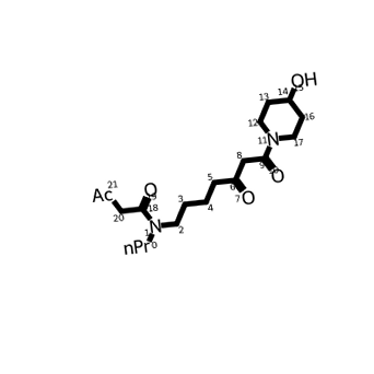 CCCN(CCCCC(=O)CC(=O)N1CCC(O)CC1)C(=O)CC(C)=O